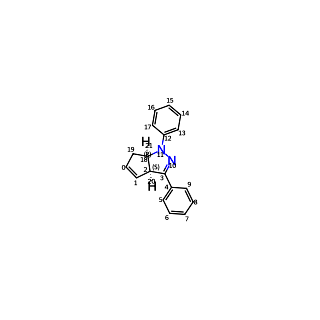 C1=C[C@@H]2C(c3ccccc3)=NN(c3ccccc3)[C@@H]2C1